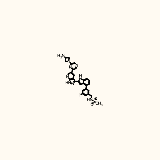 CS(=O)(=O)NCc1cc(F)cc(-c2cccc3[nH]c(-c4n[nH]c5ncc(-c6cncc(N7CC(N)C7)n6)cc45)cc23)c1